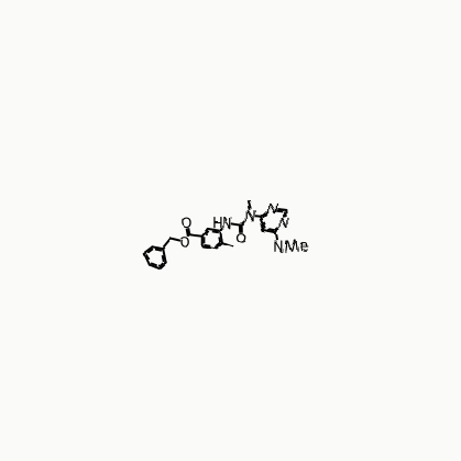 CNc1cc(N(C)C(=O)Nc2cc(C(=O)OCc3ccccc3)ccc2C)ncn1